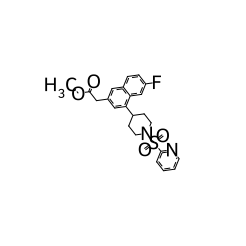 COC(=O)Cc1cc(C2CCN(S(=O)(=O)c3ccccn3)CC2)c2cc(F)ccc2c1